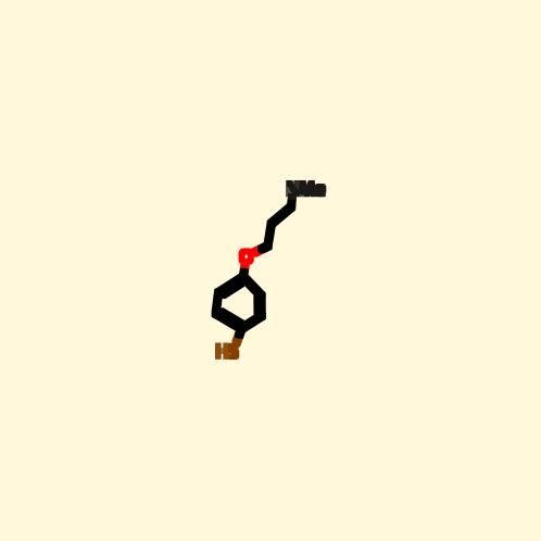 CNCCCOc1ccc(S)cc1